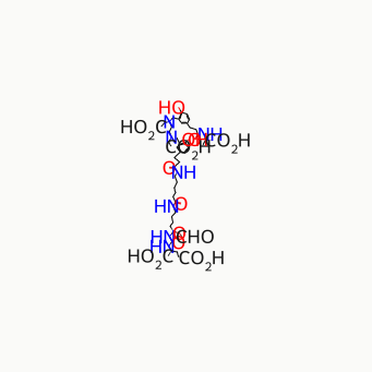 C[C@H](NC(=O)CCc1ccc(O)c(CN(CCN(CC(=O)O)Cc2cc(CCC(=O)NCCCCCC(=O)NCCCC[C@H](NC(=O)N[C@@H](CCC(=O)O)C(=O)O)OC=O)ccc2O)CC(=O)O)c1)C(=O)O